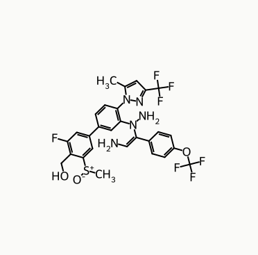 Cc1cc(C(F)(F)F)nn1-c1ccc(-c2cc(F)c(CO)c([S+](C)[O-])c2)cc1N(N)/C(=C\N)c1ccc(OC(F)(F)F)cc1